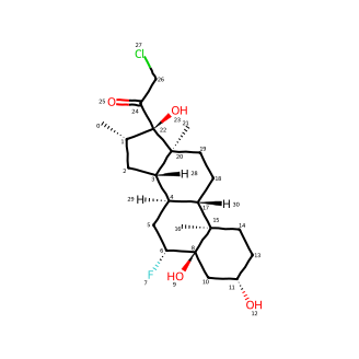 C[C@H]1C[C@H]2[C@@H]3C[C@@H](F)[C@@]4(O)C[C@@H](O)CC[C@]4(C)[C@H]3CC[C@]2(C)[C@@]1(O)C(=O)CCl